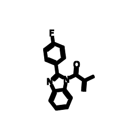 C=C(C)C(=O)n1c(-c2ccc(F)cc2)nc2ccccc21